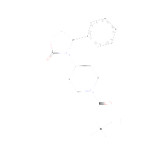 CC(C)(C)OC(=O)N1CCC(N2C(=O)OCC2c2ccccc2)CC1